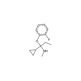 CCC(NC)(Oc1ccccc1F)C1CC1